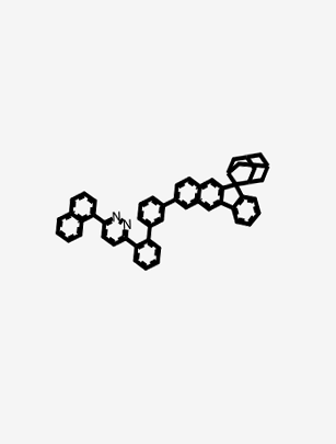 c1cc(-c2ccc3cc4c(cc3c2)-c2ccccc2C42C3CC4CC(C3)CC2C4)cc(-c2ccccc2-c2ccc(-c3cccc4ccccc34)nn2)c1